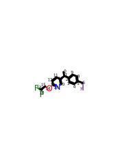 CC(c1ccc(CI)cc1)c1ccc(OCC(F)F)nc1